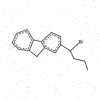 CCCC(Br)c1[c]c2c(cc1)-c1ccccc1C2